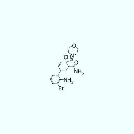 CCc1cccc(C2=CC(C(N)=O)C(C)(CN3CCOCC3)C=C2)c1N